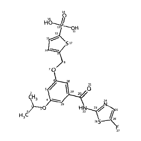 CC(C)Oc1cc(OCc2ccc(P(=O)(O)O)s2)cc(C(=O)Nc2ncc(F)s2)c1